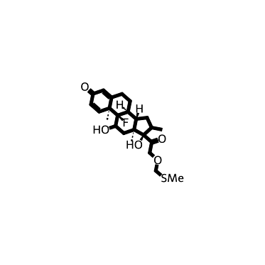 CSCOCC(=O)[C@@]1(O)C(C)C[C@H]2[C@@H]3CCC4=CC(=O)C=C[C@]4(C)[C@@]3(F)C(O)C[C@@]21C